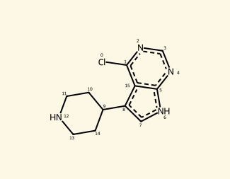 Clc1ncnc2[nH]cc(C3CCNCC3)c12